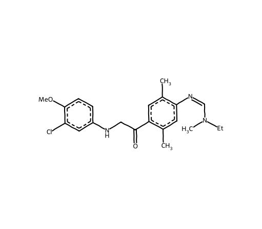 CCN(C)/C=N\c1cc(C)c(C(=O)CNc2ccc(OC)c(Cl)c2)cc1C